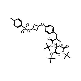 Cc1ccc(S(=O)(=O)OC2CC(Oc3ccc(CC(C[C@H](NC(=O)OC(C)(C)C)C(=O)OC(C)(C)C)C(=O)OC(C)(C)C)cc3)C2)cc1